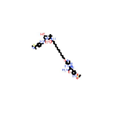 CCS(=O)(=O)Nc1ccc(-c2n[nH]c(Nc3ccnc(OCCCCCCCCCCCCCC(=O)NC(C(=O)N4C[C@H](O)C[C@H]4C(=O)NCc4ccc(-c5scnc5C)cc4)C(C)(C)C)c3)c2C(N)=O)cc1